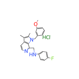 COc1cccc(Cn2c(C)c(C)c3ccnc(CNc4ccc(F)cc4)c32)c1.Cl